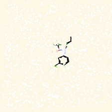 CC=CCN(C(=O)C(Cl)(Cl)Cl)c1cccc(C(F)(F)F)c1